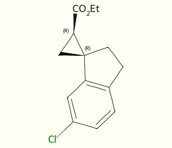 CCOC(=O)[C@@H]1C[C@]12CCc1ccc(Cl)cc12